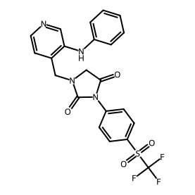 O=C1CN(Cc2ccncc2Nc2ccccc2)C(=O)N1c1ccc(S(=O)(=O)C(F)(F)F)cc1